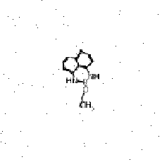 CCOP1Nc2cccc3cccc(c23)N1